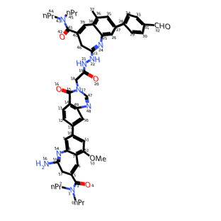 CCCN(CCC)C(=O)C1=Cc2c(cc(-c3ccc4c(=O)n(CC(=O)NNC5=Nc6cc(-c7ccc(C=O)cc7)cc(C)c6C=C(C(=O)N(CCC)CCC)C5)cnc4c3)cc2OC)N=C(N)C1